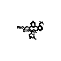 COC(=O)C[C@H](NC(=O)[C@H](C)CC(C)C)c1cncc(-c2c(C)cccc2C)c1